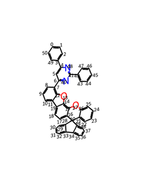 c1ccc(-c2cc(-c3cccc4c3oc3c5c(ccc34)C3(c4ccccc4O5)c4ccccc4-c4ccccc43)nc(-c3ccccc3)n2)cc1